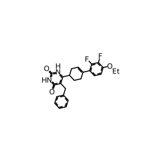 CCOc1ccc(C2=CCC(c3[nH]c(=O)[nH]c(=O)c3Cc3ccccc3)CC2)c(F)c1F